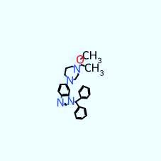 COC(C)N1CCCN(c2ccc3ncn(C(c4ccccc4)c4ccccc4)c3c2)CC1